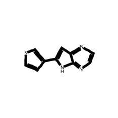 c1cnc2[nH]c(-c3ccsc3)cc2n1